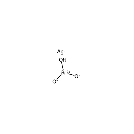 [Ag].[O-][Br+2]([O-])O